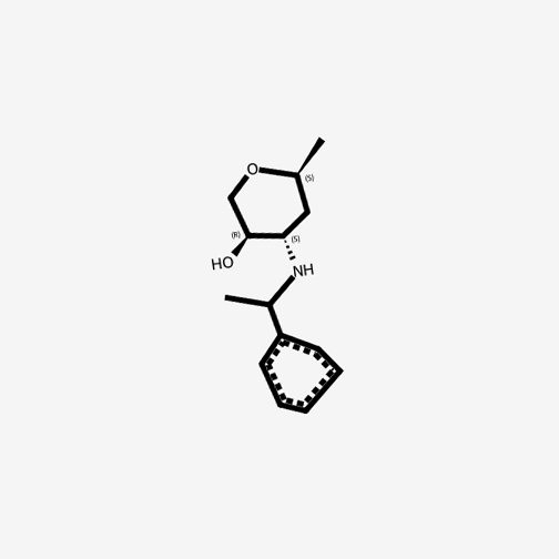 CC(N[C@H]1C[C@H](C)OC[C@@H]1O)c1ccccc1